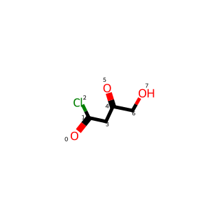 O=C(Cl)CC(=O)CO